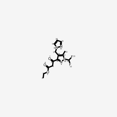 CCOC(=O)CC(=O)c1nn(C(F)F)c(C)c1Cn1cccn1